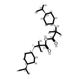 CC(C)[C@H]1CC[C@H](CC(C)(C)C(=O)OC(=O)C(C)(C)C[C@H]2CC[C@H](C(C)C)CC2)CC1